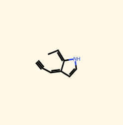 C#C/C=c1/cc[nH]/c1=C/C